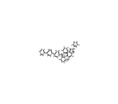 c1ccc(-c2ccc(-c3ccc(N(c4ccccc4)c4cccc5oc6cc7nc(-c8ccccc8)sc7cc6c45)cc3)cc2)cc1